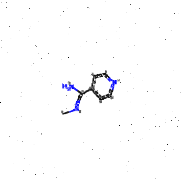 CN=C(N)c1ccncc1